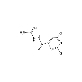 N=C(N)NNC(=O)c1cc(Cl)nc(Cl)c1